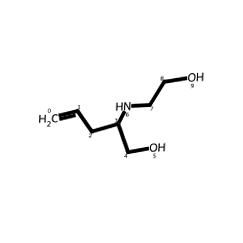 C=CCC(CO)NCCO